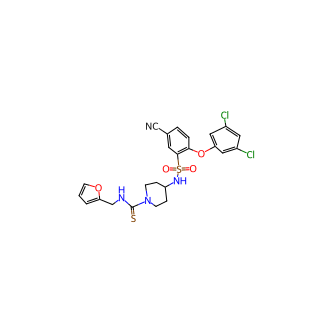 N#Cc1ccc(Oc2cc(Cl)cc(Cl)c2)c(S(=O)(=O)NC2CCN(C(=S)NCc3ccco3)CC2)c1